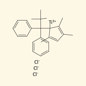 CC1=CC(C)=C(C)[C]1([Ti+3])C(c1ccccc1)(c1ccccc1)C(C)(C)C.[Cl-].[Cl-].[Cl-]